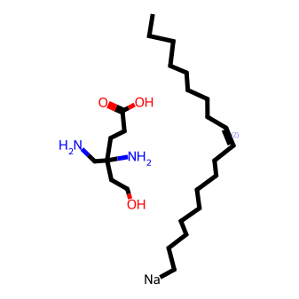 CCCCCCCC/C=C\CCCCCCC[CH2][Na].NCC(N)(CCO)CCC(=O)O